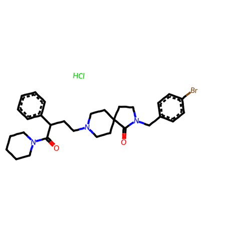 Cl.O=C(C(CCN1CCC2(CC1)CCN(Cc1ccc(Br)cc1)C2=O)c1ccccc1)N1CCCCC1